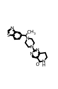 C[C@H](c1ccc2scnc2c1)N1CCN(c2ncc3c(n2)CCNC3=O)CC1